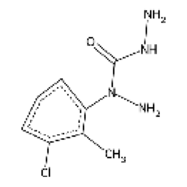 Cc1c(Cl)cccc1N(N)C(=O)NN